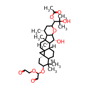 CC(=O)O[C@@H](C1C[C@@H](C)C2C(O1)[C@H](O)[C@@]1(C)[C@@H]3CC[C@H]4C(C)(C)[C@@H](O[C@@H](C=O)OCC=O)CC[C@@]45CC35CC[C@]21C)C(C)(C)O